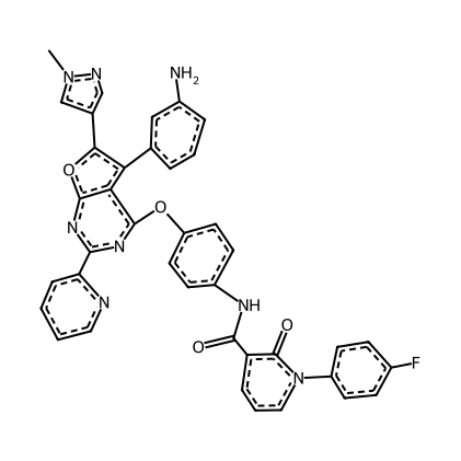 Cn1cc(-c2oc3nc(-c4ccccn4)nc(Oc4ccc(NC(=O)c5cccn(-c6ccc(F)cc6)c5=O)cc4)c3c2-c2cccc(N)c2)cn1